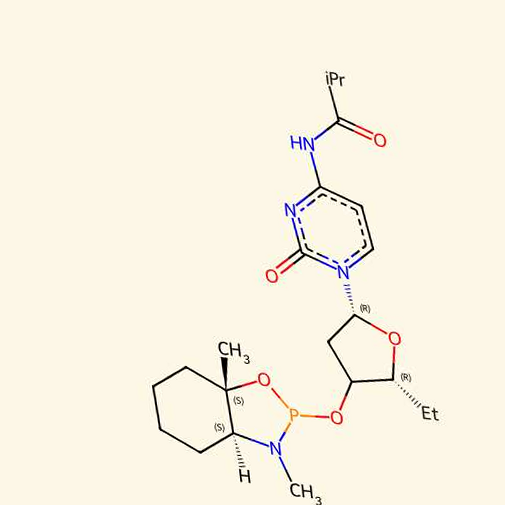 CC[C@H]1O[C@@H](n2ccc(NC(=O)C(C)C)nc2=O)CC1OP1O[C@@]2(C)CCCC[C@@H]2N1C